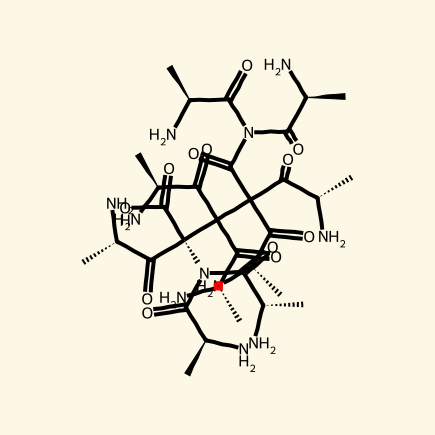 C[C@H](N)C(=O)N(C(=O)[C@H](C)N)C(=O)C(C(=O)[C@H](C)N)(C(=O)[C@H](C)N)C(C(=O)[C@H](C)N)(C(=O)[C@H](C)N)[C@](C(=O)O)(C(=O)[C@H](C)N)N(C(=O)[C@H](C)N)C(=O)[C@H](C)N